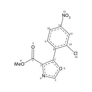 COC(=O)c1ncoc1-c1ccc([N+](=O)[O-])cc1Cl